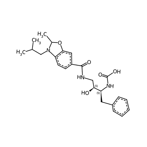 CC(C)CN1c2ccc(C(=O)NC[C@H](O)[C@H](Cc3ccccc3)NC(=O)O)cc2OC1C